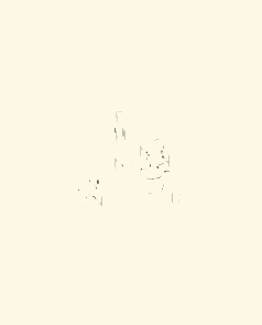 Cc1ccc(C)c(S(=O)(=O)Nc2ccc(C)n(CC(=O)NCCONC(=N)N)c2=O)c1.O=C(O)C(F)(F)F